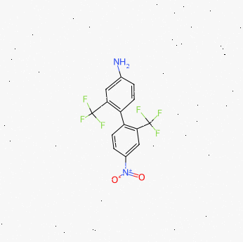 Nc1ccc(-c2ccc([N+](=O)[O-])cc2C(F)(F)F)c(C(F)(F)F)c1